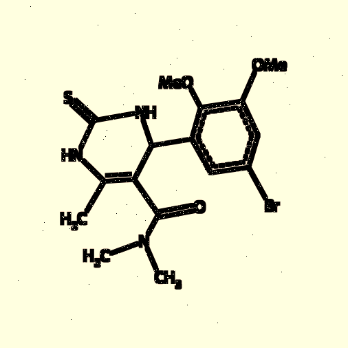 COc1cc(Br)cc(C2NC(=S)NC(C)=C2C(=O)N(C)C)c1OC